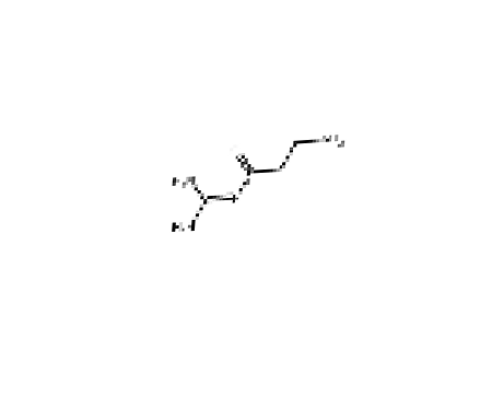 NCC[PH](=O)N=C(N)N